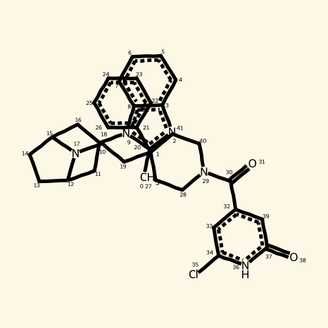 Cc1nc2ccccc2n1C1CC2CCC(C1)N2CCC1(c2ccccc2)CCN(C(=O)c2cc(Cl)[nH]c(=O)c2)CC1